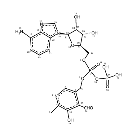 Cc1ncc(COP(=O)(OC[C@H]2O[C@@H](n3cnc4c(N)ncnc43)[C@H](O)[C@@H]2O)OP(=O)(O)O)c(C=O)c1O